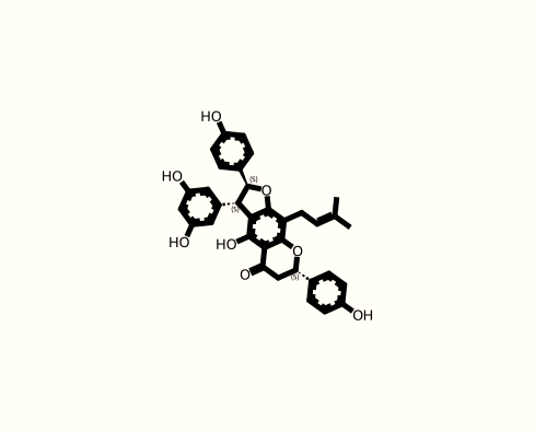 CC(C)=CCc1c2c(c(O)c3c1O[C@H](c1ccc(O)cc1)[C@H]3c1cc(O)cc(O)c1)C(=O)C[C@@H](c1ccc(O)cc1)O2